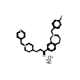 Cl.Cl.Cl.O=C(CCC1CCN(Cc2ccncc2)CC1)c1ccc2c(c1)CN(Cc1ccc(F)cc1)CCC2